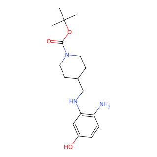 CC(C)(C)OC(=O)N1CCC(CNc2cc(O)ccc2N)CC1